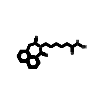 O=C(CCCCCN1C(=O)Cc2cccc3cccc(c23)C1=O)NO